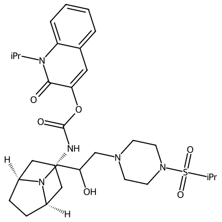 CC(C)n1c(=O)c(OC(=O)N[C@@H]2C[C@H]3CC[C@@H](C2)N3CC(O)CN2CCN(S(=O)(=O)C(C)C)CC2)cc2ccccc21